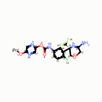 CC(C)Oc1cnc(OC(=O)Nc2ccc(F)c([C@]3(C(F)F)COCC(N)=N3)c2)cn1